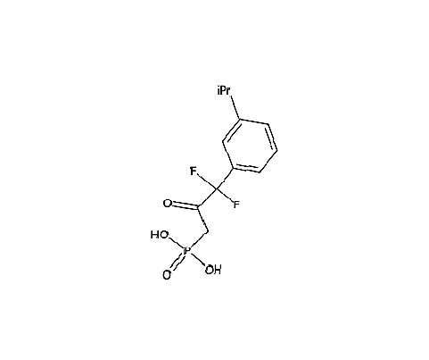 CC(C)c1cccc(C(F)(F)C(=O)CP(=O)(O)O)c1